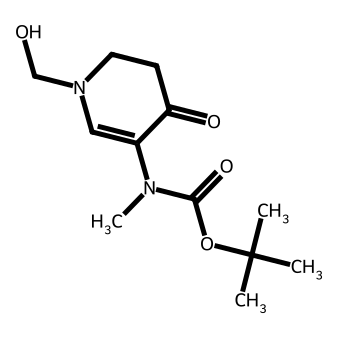 CN(C(=O)OC(C)(C)C)C1=CN(CO)CCC1=O